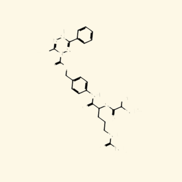 CC(=O)NC(C(=O)NC(CCCNC(N)=O)C(=O)Nc1ccc(COC(=O)N2N=C(c3ccccc3)NN=C2C)cc1)C(C)C